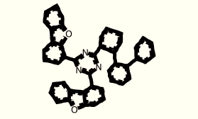 c1ccc(-c2ccccc2-c2ccccc2-c2nc(-c3cccc4c3oc3ccccc34)nc(-c3cccc4oc5ccccc5c34)n2)cc1